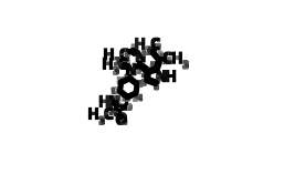 C\C=N/C(=c1/cc[nH]/c1=C(\C)CC)N(C)[C@H]1CC[C@@H](CS(C)(=N)=O)CC1